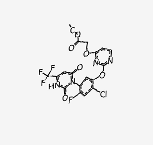 CCOC(=O)COc1ccnc(Oc2cc(-n3c(=O)cc(C(F)(F)F)[nH]c3=O)c(F)cc2Cl)n1